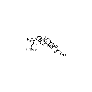 CCOCC(=O)O[C@H]1CC[C@@]2(C)C(=CC[C@H]3[C@@H]4CC[C@H]([C@H](C)CC[C@@H](CC)C(C)C)[C@@]4(C)CC[C@@H]32)C1